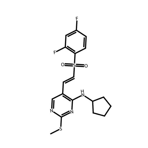 CSc1ncc(C=CS(=O)(=O)c2ccc(F)cc2F)c(NC2CCCC2)n1